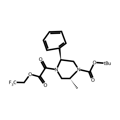 C[C@@H]1CN(C(=O)C(=O)OCC(F)(F)F)[C@@H](c2ccccc2)CN1C(=O)OC(C)(C)C